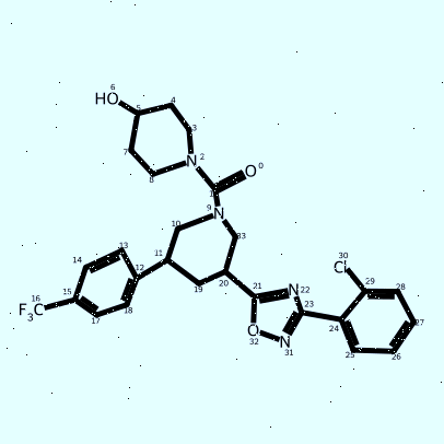 O=C(N1CCC(O)CC1)N1CC(c2ccc(C(F)(F)F)cc2)CC(c2nc(-c3ccccc3Cl)no2)C1